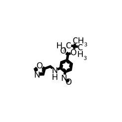 CC(C)(C)OC(=O)c1ccc(N=O)c(NCc2cnco2)c1